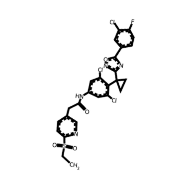 CCS(=O)(=O)c1ccc(CC(=O)Nc2cc(Cl)c(C3(c4noc(-c5ccc(F)c(Cl)c5)n4)CC3)c(Cl)c2)cn1